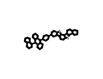 c1ccc2c(-c3c4ccccc4c(-c4ccc(-c5ccc6sc7c(ccc8sc9c%10ccccc%10ccc9c87)c6c5)cc4)c4ccccc34)cccc2c1